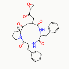 O=C1N[C@@H](Cc2ccccc2)C(=O)N[C@@H](Cc2ccccc2)C(=O)N2CCC[C@@H]2C(=O)C[C@H]1CC(=O)[C@@H]1CO1